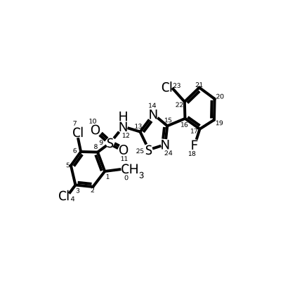 Cc1cc(Cl)cc(Cl)c1S(=O)(=O)Nc1nc(-c2c(F)cccc2Cl)ns1